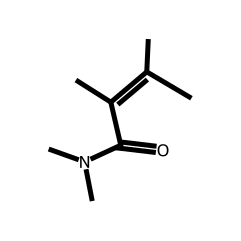 CC(C)=C(C)C(=O)N(C)C